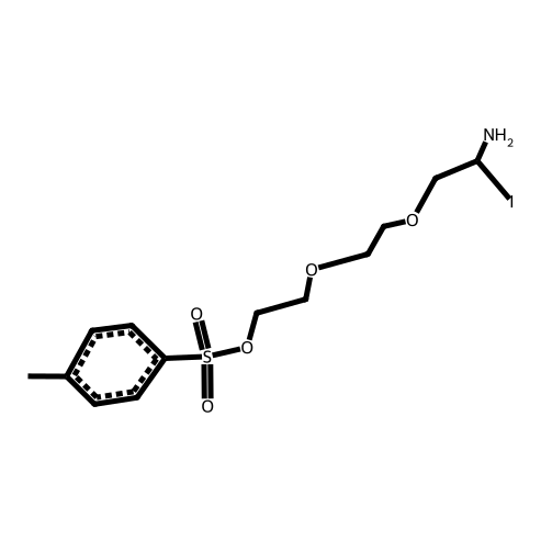 Cc1ccc(S(=O)(=O)OCCOCCOCC(N)I)cc1